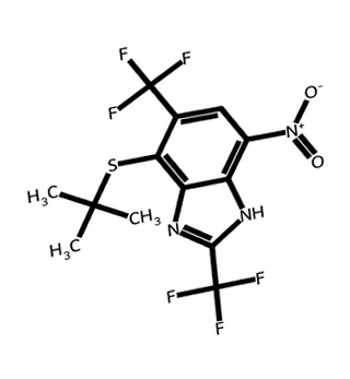 CC(C)(C)Sc1c(C(F)(F)F)cc([N+](=O)[O-])c2[nH]c(C(F)(F)F)nc12